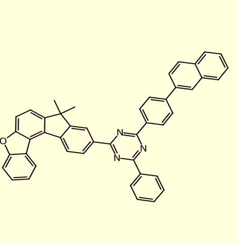 CC1(C)c2cc(-c3nc(-c4ccccc4)nc(-c4ccc(-c5ccc6ccccc6c5)cc4)n3)ccc2-c2c1ccc1oc3ccccc3c21